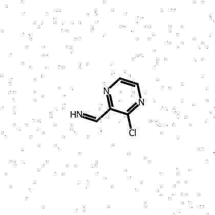 N=Cc1nccnc1Cl